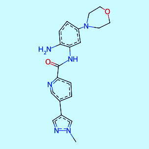 Cn1cc(-c2ccc(C(=O)Nc3cc(N4CCOCC4)ccc3N)nc2)cn1